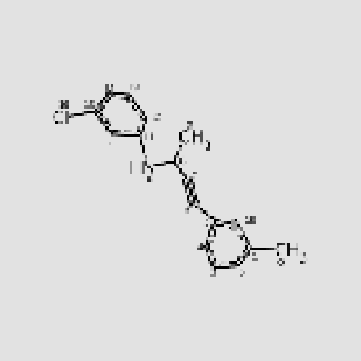 Cc1cccc(C#CC(C)Nc2cccc(Cl)c2)n1